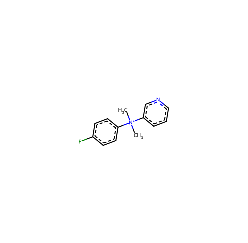 C[N+](C)(c1ccc(F)cc1)c1cccnc1